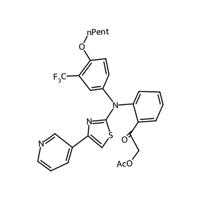 CCCCCOc1ccc(N(c2nc(-c3cccnc3)cs2)c2ccccc2C(=O)COC(C)=O)cc1C(F)(F)F